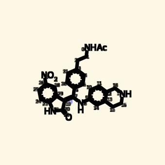 CC(=O)NCCc1ccc(/C(Nc2ccc3c(c2)CCNC3)=C2/C(=O)Nc3ccc([N+](=O)[O-])cc32)cc1